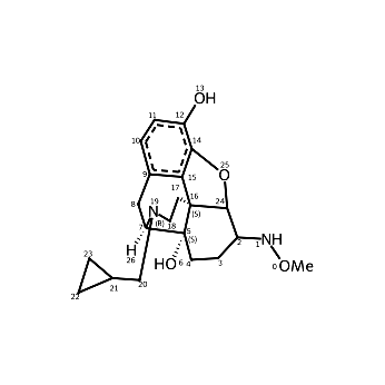 CONC1CC[C@@]2(O)[C@H]3Cc4ccc(O)c5c4[C@@]2(CCN3CC2CC2)C1O5